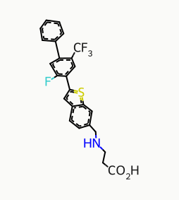 O=C(O)CCNCc1ccc2cc(-c3cc(C(F)(F)F)c(-c4ccccc4)cc3F)sc2c1